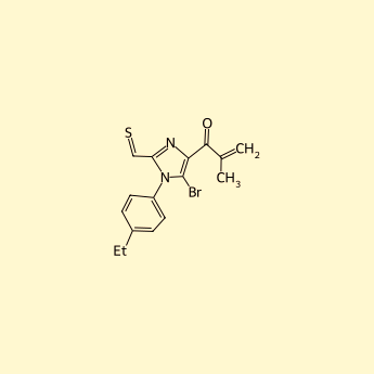 C=C(C)C(=O)c1nc(C=S)n(-c2ccc(CC)cc2)c1Br